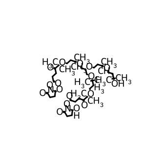 CC(C)(O)CCOC(C)(C)CCOC(COC(C)(C)CCOC(C)(C)C(=O)CCC(=O)ON1C(=O)CCC1=O)COC(C)(C)CCOC(C)(C)C(=O)CCC(=O)ON1C(=O)CCC1O